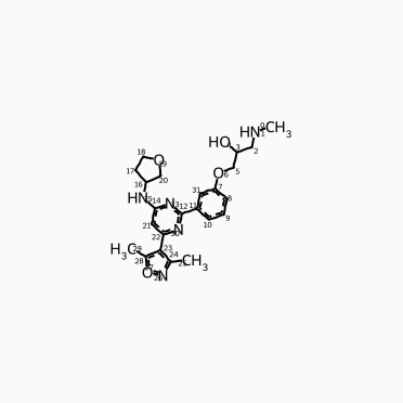 CNCC(O)COc1cccc(-c2nc(NC3CCOC3)cc(-c3c(C)noc3C)n2)c1